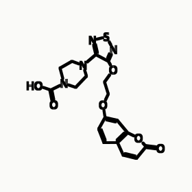 O=C(O)N1CCN(c2nsnc2OCCOc2ccc3ccc(=O)oc3c2)CC1